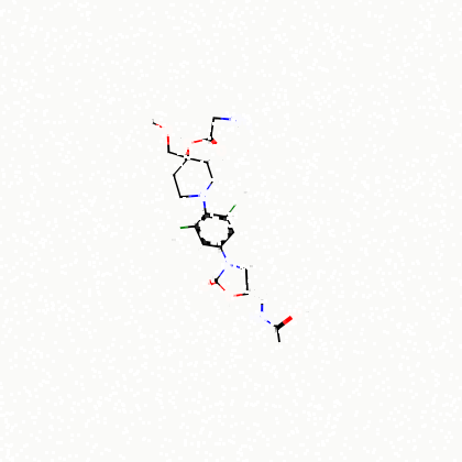 COCC1(OC(=O)CN)CCN(c2c(F)cc(N3C[C@H](CNC(C)=O)OC3=O)cc2F)CC1.Cl